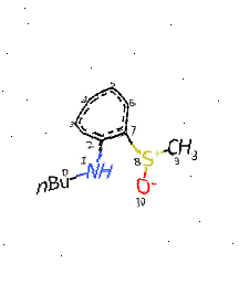 CCCCNc1ccccc1[S+](C)[O-]